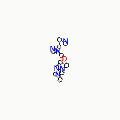 c1ccc(-c2ccccc2-c2ccc3c(c2)c2ncccc2n3-c2ccc3oc4c(-c5ccccc5-n5c6ccc(-c7ccccc7-c7ccccn7)cc6c6ncccc65)cccc4c3c2)nc1